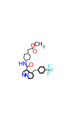 COC(=O)CC1CCC(NC(=O)c2cnn3cccc(Cc4ccc(C(F)(F)F)cc4)c23)CC1